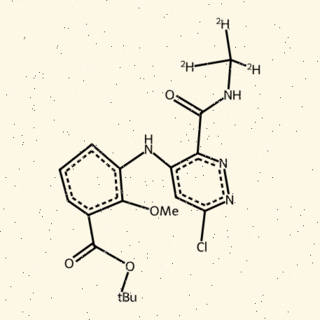 [2H]C([2H])([2H])NC(=O)c1nnc(Cl)cc1Nc1cccc(C(=O)OC(C)(C)C)c1OC